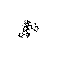 C[C@@H]1COCCN1c1cc(C2(S(C)(=O)=O)CC2)c2ccnc(-c3ccnn3C3CCCCO3)c2n1